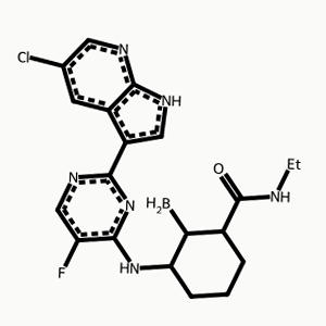 BC1C(Nc2nc(-c3c[nH]c4ncc(Cl)cc34)ncc2F)CCCC1C(=O)NCC